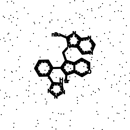 CCCCc1nc2ncncc2n1Cc1c2ccocc-2c(Br)c1-c1ccccc1-c1nnn[nH]1